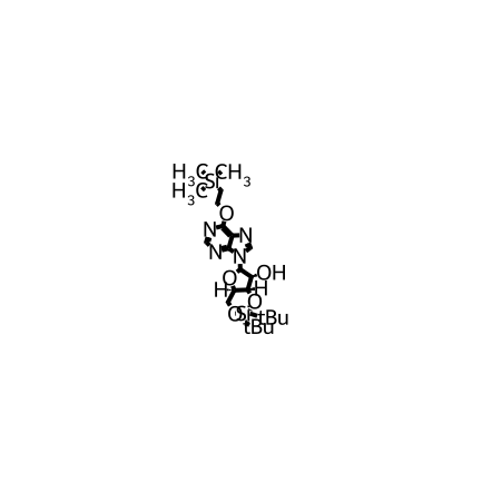 CC(C)(C)[Si]1(C(C)(C)C)OC[C@H]2OC(n3cnc4c(OCC[Si](C)(C)C)ncnc43)[C@@H](O)[C@@H]2O1